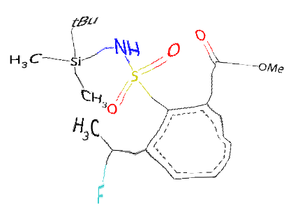 COC(=O)c1cccc(C(C)F)c1S(=O)(=O)N[Si](C)(C)C(C)(C)C